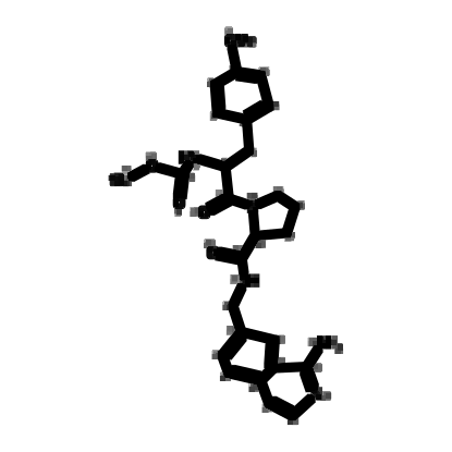 COc1ccc(CC(NC(=O)OC(C)(C)C)C(=O)N2CCCC2C(=O)NCc2ccc3ccnc(N)c3c2)cc1